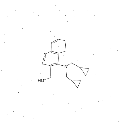 OCc1cnc2c(c1N(CC1CC1)CC1CC1)CCC=C2